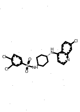 O=S(=O)(N[C@H]1CC[C@@H](Nc2ccnc3cc(Cl)ccc23)CC1)c1ccc(Cl)c(Cl)c1